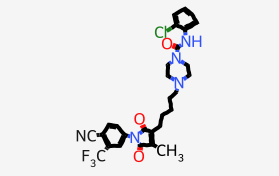 CC1=C(CCCCCN2CCN(C(=O)Nc3ccccc3Cl)CC2)C(=O)N(c2ccc(C#N)c(C(F)(F)F)c2)C1=O